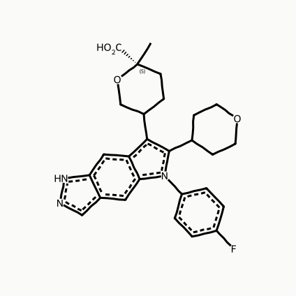 C[C@@]1(C(=O)O)CCC(c2c(C3CCOCC3)n(-c3ccc(F)cc3)c3cc4cn[nH]c4cc23)CO1